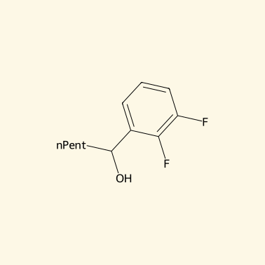 CCCCCC(O)c1cccc(F)c1F